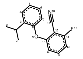 CC(C)c1ccccc1Oc1cccc(F)c1C#N